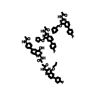 CC(=O)Nc1ccc(-c2ccc3nc(NC(C)=O)nc(O)c3c2)cc1.CC(=O)Nc1nc(OC2CCCC2)c2cc(-c3ccc(F)cc3)ccc2n1.CC(=O)Nc1nc(OCc2ccccc2)c2cc(-c3ccc(F)cc3)ccc2n1.CCCOc1nc(NC(C)=O)nc2ccc(-c3ccc(F)cc3)cc12